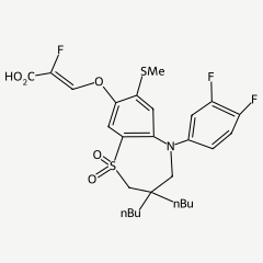 CCCCC1(CCCC)CN(c2ccc(F)c(F)c2)c2cc(SC)c(OC=C(F)C(=O)O)cc2S(=O)(=O)C1